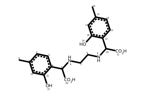 Cc1ccc(C(NCCNC(C(=O)O)c2ccc(C)cc2O)C(=O)O)c(O)c1